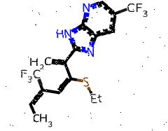 C=C(/C(=C\C(=C/C)C(F)(F)F)SCC)c1nc2cc(C(F)(F)F)cnc2[nH]1